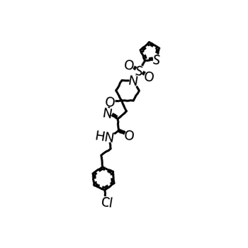 O=C(NCCc1ccc(Cl)cc1)C1=NOC2(CCN(S(=O)(=O)c3cccs3)CC2)C1